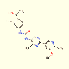 CCOc1cc(-c2ncc(NC(=O)Nc3ccc(C(C)O)c(C(F)(F)F)c3)c(C)n2)cnc1C